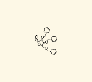 ClO[C@H]1O[C@H](COCc2ccccc2)[C@@H](OCc2ccccc2)[C@@H]1OCc1ccccc1